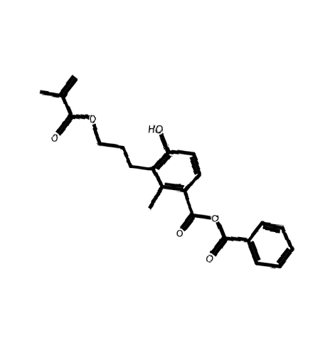 C=C(C)C(=O)OCCCc1c(O)ccc(C(=O)OC(=O)c2ccccc2)c1C